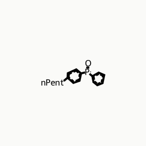 CCCCCc1ccc([P](=O)c2ccccc2)cc1